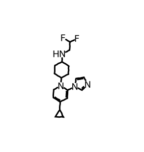 FC(F)CNC1CCC(N2CC=C(C3CC3)C=C2n2ccnc2)CC1